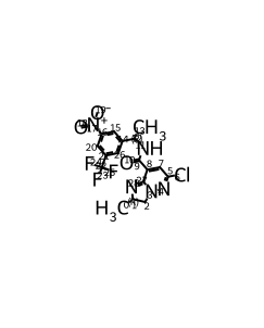 C[C@@H]1CN2N=C(Cl)C=C(C(=O)N[C@H](C)c3cc([N+](=O)[O-])cc(C(F)(F)F)c3)C2=N1